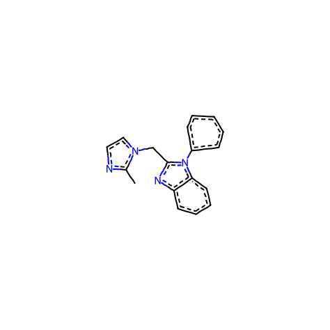 Cc1nccn1Cc1nc2ccccc2n1-c1ccccc1